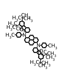 Cc1ccc(N(c2ccc3ccc4c(N(c5ccc(C)cc5)c5cccc6c5oc5c(C(C)(C)C)cc(C(C)(C)C)cc56)ccc5ccc2c3c54)c2cccc3c2oc2c(C(C)(C)C)cc(C(C)(C)C)cc23)cc1